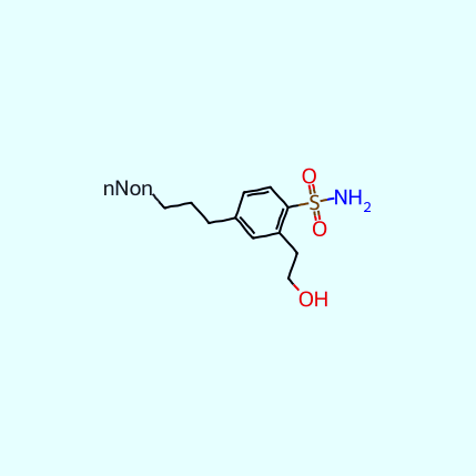 CCCCCCCCCCCCc1ccc(S(N)(=O)=O)c(CCO)c1